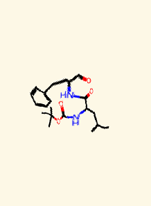 CC(C)CC(NC(=O)OC(C)(C)C)C(=O)NC(C=O)Cc1ccccc1